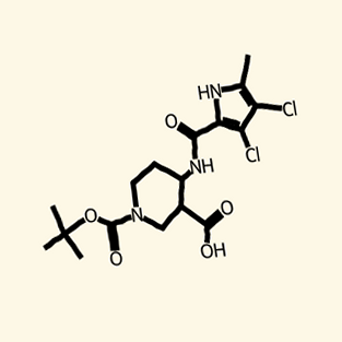 Cc1[nH]c(C(=O)NC2CCN(C(=O)OC(C)(C)C)CC2C(=O)O)c(Cl)c1Cl